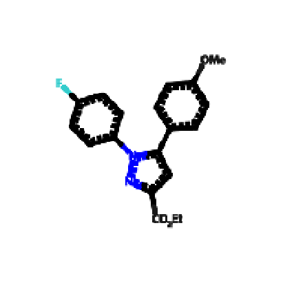 CCOC(=O)c1cc(-c2ccc(OC)cc2)n(-c2ccc(F)cc2)n1